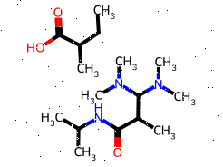 CC(C)NC(=O)C(C)C(N(C)C)N(C)C.CCC(C)C(=O)O